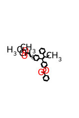 CCC(=C(c1ccc(C=CC(=O)OC(C)(C)C)cc1)c1ccc(OC(=O)c2ccccc2)cc1)c1ccccc1